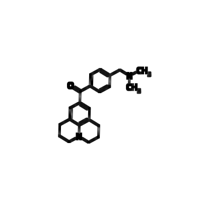 CN(C)Cc1ccc(C(=O)c2cc3c4c(c2)CCCN4CCC3)cc1